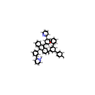 CC1C=CC(C2C=C(C3(C)C=CC4C(=C(C5=CC=CC([C@@H]6CC=CC=N6)C5)C5CC=CC=C5[C@@H]4c4cccc(C5C=CC=CN5C)c4)C3)C=C(c3ccccc3)C2)=CC1